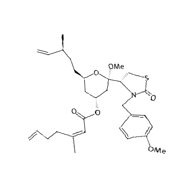 C=CCCC(C)=CC(=O)O[C@@H]1C[C@@H](CC[C@H](C)C=C)O[C@@](OC)([C@@H]2CSC(=O)N2Cc2ccc(OC)cc2)C1